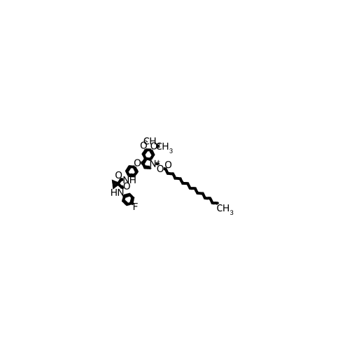 CCCCCCCCCCCCCCCC(=O)OC[n+]1ccc(Oc2ccc(NC(=O)C3(C(=O)Nc4ccc(F)cc4)CC3)cc2)c2cc(OC)c(OC)cc21